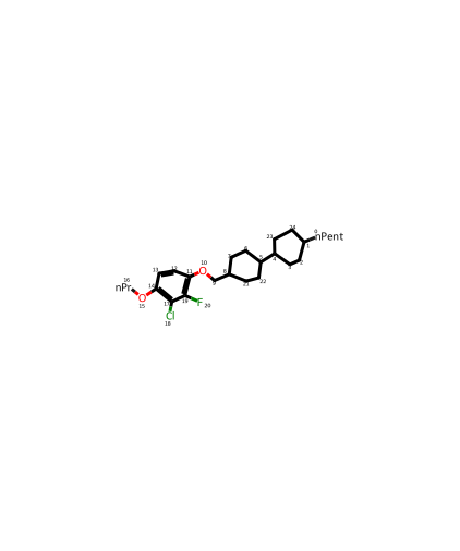 CCCCCC1CCC(C2CCC(COc3ccc(OCCC)c(Cl)c3F)CC2)CC1